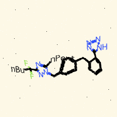 CCCCCc1nc(C(F)(F)CCCC)nn1Cc1ccc(Cc2ccccc2-c2nnn[nH]2)cc1